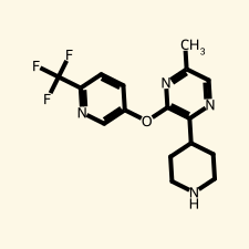 Cc1cnc(C2CCNCC2)c(Oc2ccc(C(F)(F)F)nc2)n1